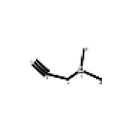 C#CCB(C)C